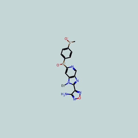 CCn1c(-c2nonc2N)nc2cnc([S+]([O-])c3ccc([S+](C)[O-])cc3)cc21